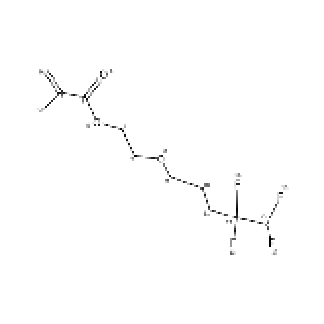 C=C(C)C(=O)OCCOCCCC(F)(F)C(F)F